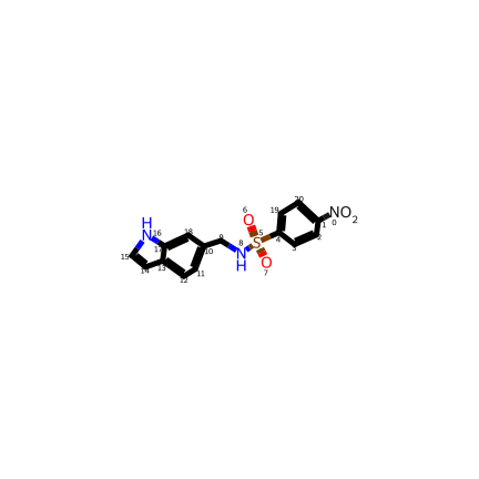 O=[N+]([O-])c1ccc(S(=O)(=O)NCc2ccc3cc[nH]c3c2)cc1